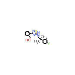 CC(C)(CNc1nc(-c2ccccc2CO)ns1)c1ccc(F)cc1